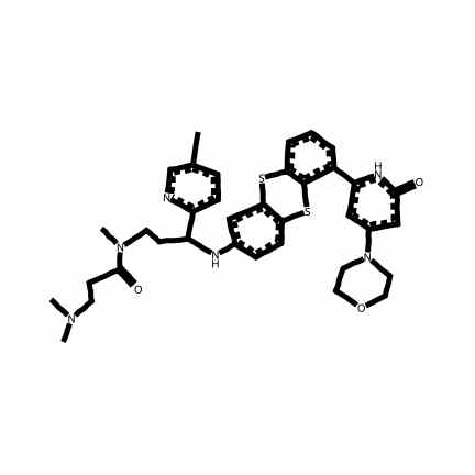 Cc1ccc(C(CCN(C)C(=O)CCN(C)C)Nc2ccc3c(c2)Sc2cccc(-c4cc(N5CCOCC5)cc(=O)[nH]4)c2S3)nc1